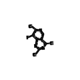 Fc1c(Cl)ncc2c(Cl)nc(Cl)nc12